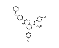 O=C(Nc1cc(-c2ccc(Cl)cc2)cn(C(Cc2ccc(Cl)cc2)C(=O)O)c1=O)c1ccc(Oc2ccccc2)cc1